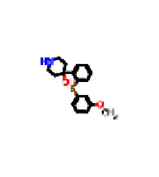 COc1cccc(Sc2ccccc2C2(O)CCNCC2)c1